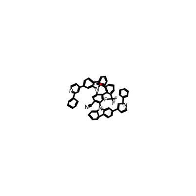 N#Cc1cc(-n2c3ccccc3c3ccc(-c4ccnc(-c5ccccc5)c4)cc32)c(-c2c(C#N)cccc2C(F)(F)F)cc1-n1c2ccccc2c2ccc(-c3ccnc(-c4ccccc4)c3)cc21